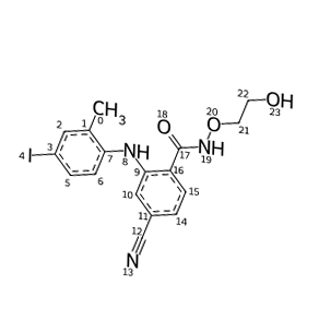 Cc1cc(I)ccc1Nc1cc(C#N)ccc1C(=O)NOCCO